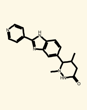 CC1CC(=O)NN(C)C1c1ccc2[nH]c(-c3ccncc3)nc2c1